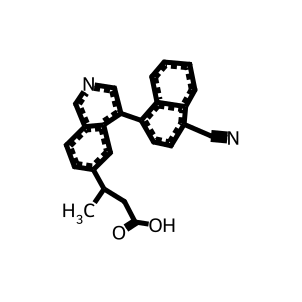 CC(CC(=O)O)c1ccc2cncc(-c3ccc(C#N)c4ccccc34)c2c1